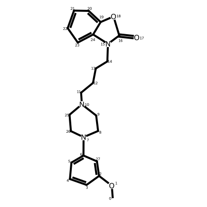 COc1cccc(N2CCN(CCCCn3c(=O)oc4ccccc43)CC2)c1